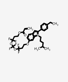 C=CC(=O)OCCC(F)(F)OC(F)(F)OC(F)(F)CCOc1ccc2cc(-c3ccc(CC)cc3)n(CCCC(C)C)c2c1